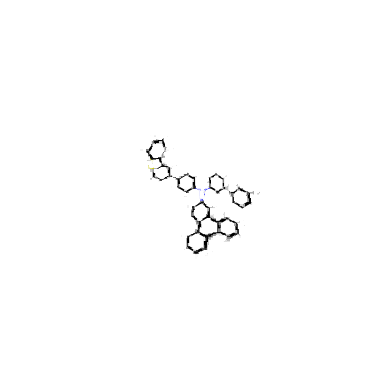 c1ccc(-c2cccc(N(c3ccc(-c4ccc5sc6ccccc6c5c4)cc3)c3ccc4c5ccccc5c5ccccc5c4c3)c2)cc1